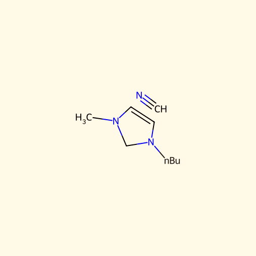 C#N.CCCCN1C=CN(C)C1